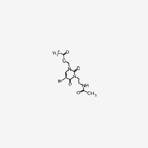 CC(=O)NCCn1c(=O)c(Br)cn(COC(C)=O)c1=O